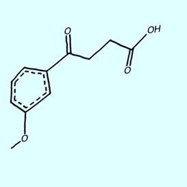 COc1cccc(C(=O)CCC(=O)O)c1